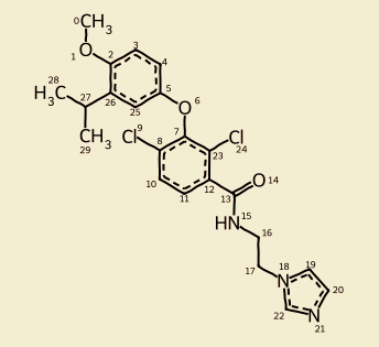 COc1ccc(Oc2c(Cl)ccc(C(=O)NCCn3ccnc3)c2Cl)cc1C(C)C